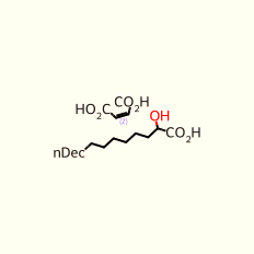 CCCCCCCCCCCCCCCCC(O)C(=O)O.O=C(O)/C=C\C(=O)O